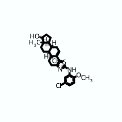 COc1ccc(Cl)cc1Nc1nc2c(s1)C1=CC[C@H]3[C@@H]4CC[C@H](O)[C@@]4(C)CC[C@@H]3[C@@]1(C)CC2